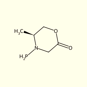 C[C@H]1COC(=O)CN1P